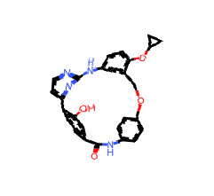 O=C1Nc2ccc(cc2)OCc2cc(ccc2OC2CC2)Nc2nccc(n2)-c2ccc1cc2O